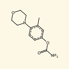 Cc1cc(OC(N)=O)ccc1N1CCOCC1